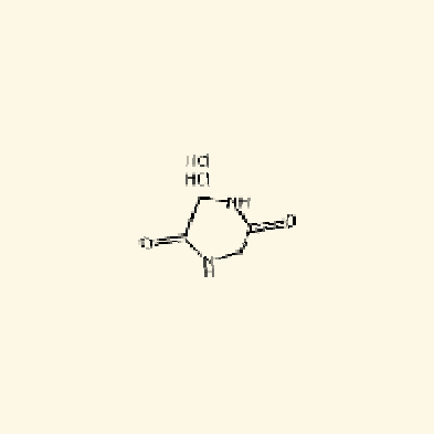 Cl.Cl.O=C1CNC(=O)CN1